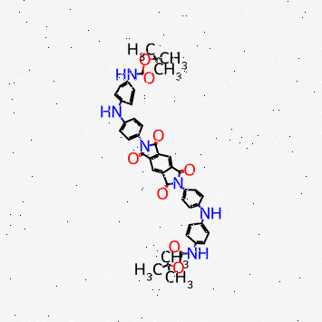 CC(C)(C)OC(=O)Nc1ccc(Nc2ccc(-n3c(=O)c4cc5c(=O)n(-c6ccc(Nc7ccc(NC(=O)OC(C)(C)C)cc7)cc6)c(=O)c5cc4c3=O)cc2)cc1